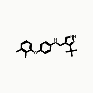 Cc1cccc(Oc2ccc(NCc3c[nH]nc3C(C)(C)C)cc2)c1C